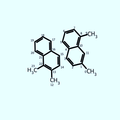 Cc1ccc2cccc(C)c2c1.Cc1ccc2ccccc2c1C